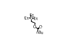 CCCCC(=O)OCC[N+](CC)(CC)CC